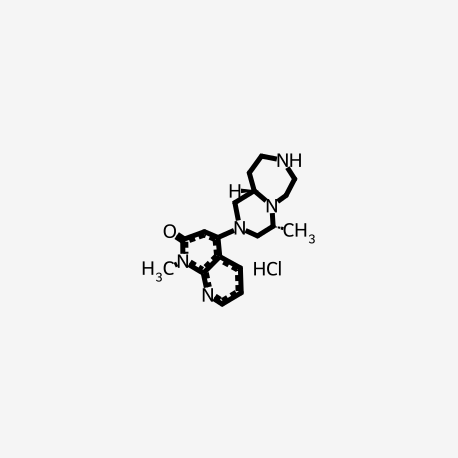 C[C@@H]1CN(c2cc(=O)n(C)c3ncccc23)C[C@@H]2CCNCCN21.Cl